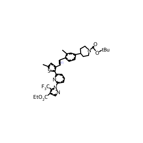 CCOC(=O)c1cnn(-c2cccc(-c3sc(C)cc3/C=C/c3ccc(C4CCN(C(=O)OC(C)(C)C)CC4)cc3C)n2)c1C(F)(F)F